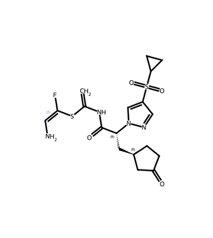 C=C(NC(=O)[C@@H](C[C@H]1CCC(=O)C1)n1cc(S(=O)(=O)C2CC2)cn1)S/C(F)=C\N